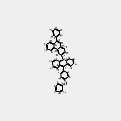 c1ccc(Oc2ccc(-c3c4ccccc4c(-c4ccc5cc(-c6ccccc6)c6ccccc6c5c4)c4ccccc34)cc2)cc1